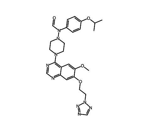 COc1cc2c(N3CCN(N(C=O)c4ccc(OC(C)C)cc4)CC3)ncnc2cc1OCCn1ncnn1